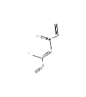 C=CC(=N)/C=C(/C=C)CC